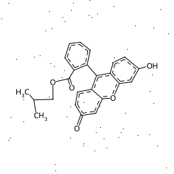 CC(C)COC(=O)c1ccccc1-c1c2ccc(=O)cc-2oc2cc(O)ccc12